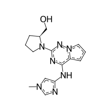 Cn1cnc(Nc2nc(N3CCC[C@H]3CO)nn3cccc23)c1